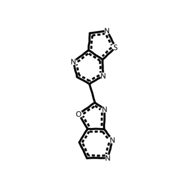 c1cc2oc(-c3cnc4cnsc4n3)nc2nn1